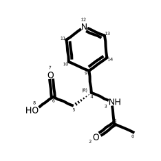 CC(=O)N[C@H](CC(=O)O)c1ccncc1